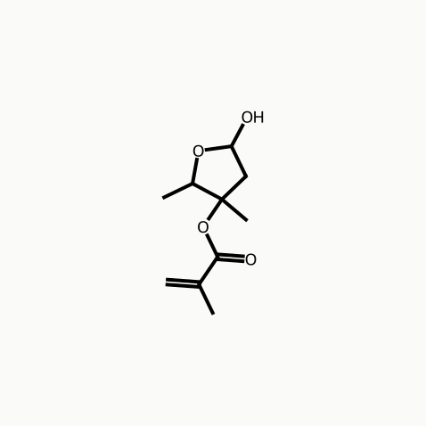 C=C(C)C(=O)OC1(C)CC(O)OC1C